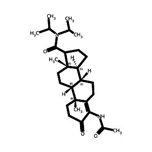 CC(=O)NC1=C2CC[C@@H]3[C@@H](CC[C@]4(C)C(C(=O)N(C(C)C)C(C)C)CC[C@@H]34)[C@@]2(C)CCC1=O